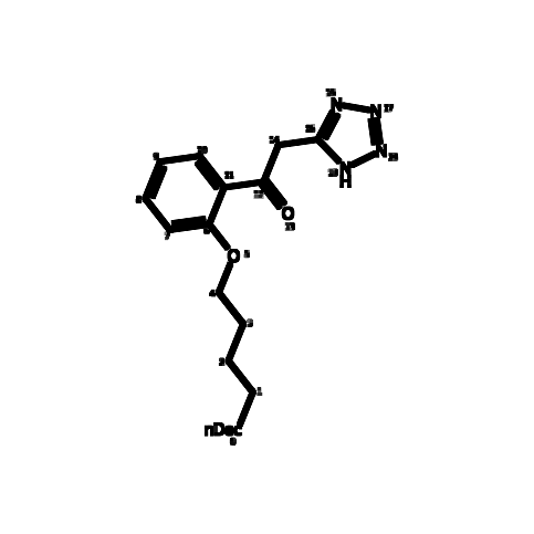 CCCCCCCCCCCCCCOc1ccccc1C(=O)Cc1nnn[nH]1